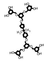 CC(C)(c1ccc(OCc2cc(OCc3cc(O)cc(O)c3)cc(OCc3cc(O)cc(O)c3)c2)cc1)c1ccc(OCc2cc(OCc3cc(O)cc(O)c3)cc(OCc3cc(O)cc(O)c3)c2)cc1